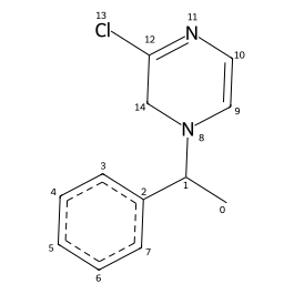 CC(c1ccccc1)N1C=CN=C(Cl)C1